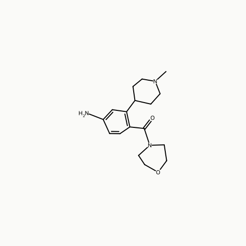 CN1CCC(c2cc(N)ccc2C(=O)N2CCOCC2)CC1